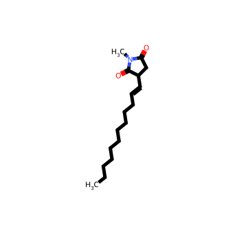 CCCCCCCCCCC=CC1CC(=O)N(C)C1=O